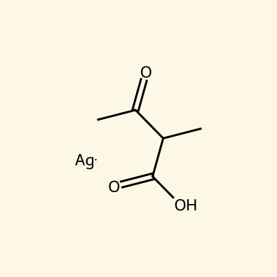 CC(=O)C(C)C(=O)O.[Ag]